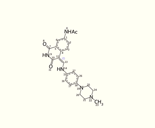 CC(=O)Nc1ccc2c(c1)C(=O)NC(=O)/C2=C\Nc1ccc(N2CCN(C)CC2)cc1